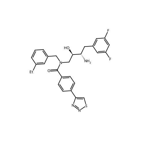 CCc1cccc(CN(C[C@@H](O)[C@@H](N)Cc2cc(F)cc(F)c2)C(=O)c2ccc(-c3csnn3)cc2)c1